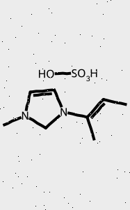 CC=C(C)N1C=CN(C)C1.O=S(=O)(O)O